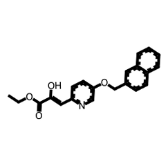 CCOC(=O)C(O)=Cc1ccc(OCc2ccc3ccccc3c2)cn1